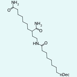 CCCCCCCCCCCCCCCCCC(=O)NCCC(CCCCCCC(N)=O)C(N)=O